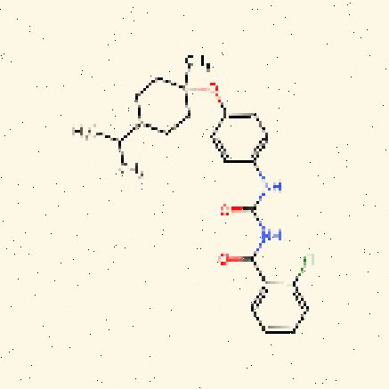 CC(C)C1CCC(C)(Oc2ccc(NC(=O)NC(=O)c3ccccc3Cl)cc2)CC1